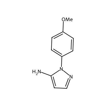 COc1ccc(-n2nccc2N)cc1